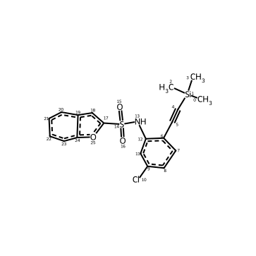 C[Si](C)(C)C#Cc1ccc(Cl)cc1NS(=O)(=O)c1cc2ccccc2o1